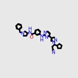 N#CCC(C1CCCC1)n1cc(-c2ccnc(Nc3cccc(C(=O)N[C@H]4CCN(Cc5ccccc5)C4)c3)n2)cn1